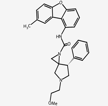 COCCN1C[C@@H](c2ccccc2)C2(C1)CN2C(=O)Nc1cccc2oc3ccc(C)cc3c12